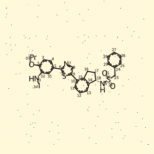 CC(C)Oc1ccc(-c2ncc(-c3cccc4c3CC[C@@H]4NS(=O)(=O)Cc3ccccc3)s2)cc1NI